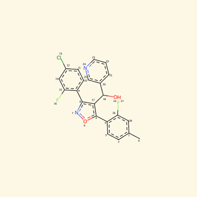 Cc1ccc(-c2onc(-c3ccc(Cl)cc3F)c2C(O)c2cccnc2)c(F)c1